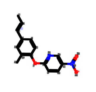 C/C=C/c1ccc(Oc2ccc([N+](=O)[O-])cn2)c(C)c1